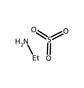 CCN.O=S(=O)=O